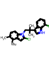 Cc1ccc2c(cc(Cl)n2CC(C)(C)c2c[nH]c3c(F)cccc23)c1C(C)(C)C